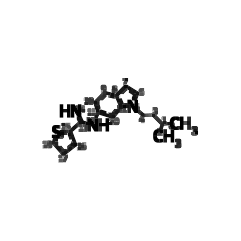 CC(C)CCn1ccc2ccc(NC(=N)c3cccs3)cc21